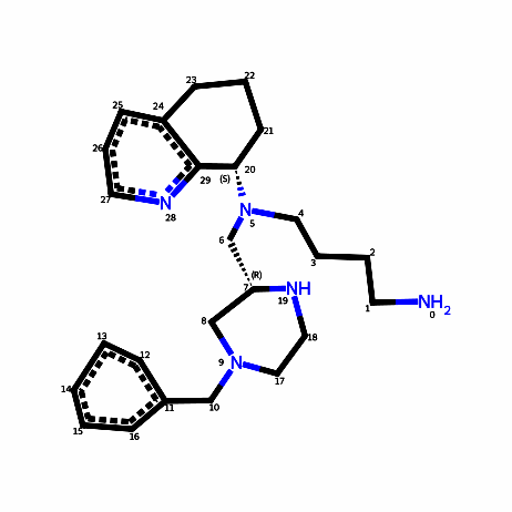 NCCCCN(C[C@H]1CN(Cc2ccccc2)CCN1)[C@H]1CCCc2cccnc21